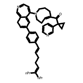 CCCC(=CCC/C=C/c1ccc(C2=CCC3=CN=CC=C(N4CC/C=C(\C(=O)C5(c6cccnc6)CC5)CCC4)C3=C2)cc1)CCC